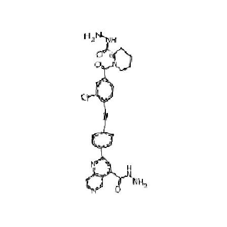 NNC(=O)c1cc(-c2ccc(C#Cc3ccc(C(=O)N4CCCC[C@H]4C(=O)NN)cc3Cl)cc2)nc2ccncc12